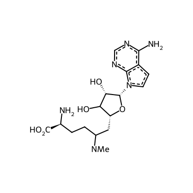 CNC(CC[C@H](N)C(=O)O)C[C@H]1O[C@@H](n2ccc3c(N)ncnc32)[C@@H](O)C1O